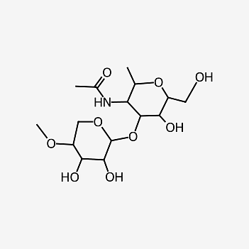 COC1COC(OC2C(O)C(CO)OC(C)C2NC(C)=O)C(O)C1O